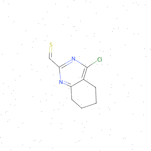 S=Cc1nc(Cl)c2c(n1)CCCC2